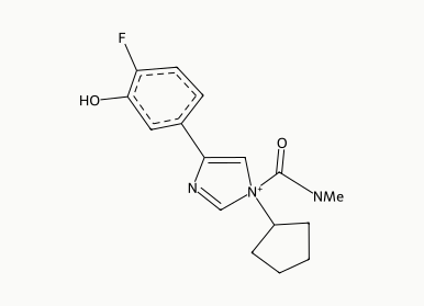 CNC(=O)[N+]1(C2CCCC2)C=NC(c2ccc(F)c(O)c2)=C1